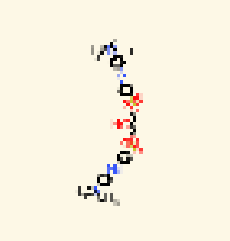 CN(C)c1ccc(/N=N/c2ccc(S(=O)(=O)OCCC(O)CCOS(=O)(=O)c3ccc(/N=N/c4ccc(N(C)C)cc4)cc3)cc2)cc1